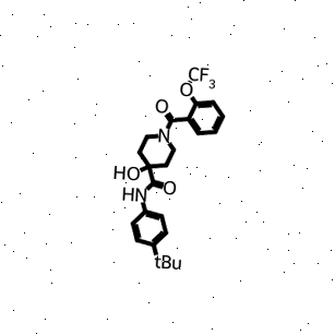 CC(C)(C)c1ccc(NC(=O)C2(O)CCN(C(=O)c3ccccc3OC(F)(F)F)CC2)cc1